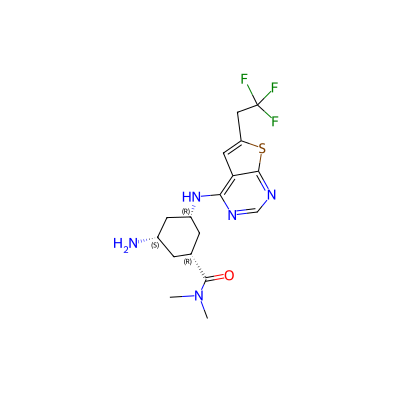 CN(C)C(=O)[C@@H]1C[C@H](N)C[C@H](Nc2ncnc3sc(CC(F)(F)F)cc23)C1